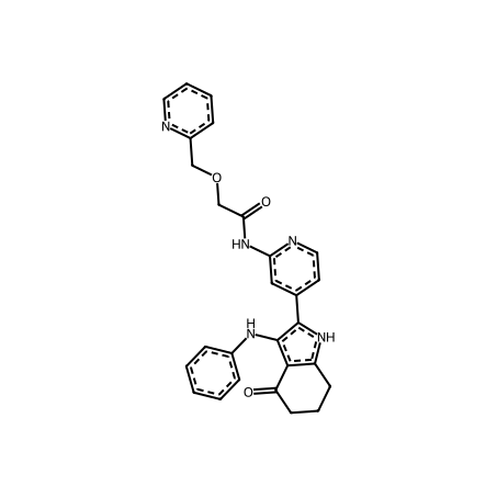 O=C(COCc1ccccn1)Nc1cc(-c2[nH]c3c(c2Nc2ccccc2)C(=O)CCC3)ccn1